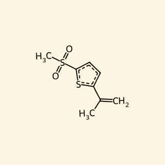 C=C(C)c1ccc(S(C)(=O)=O)s1